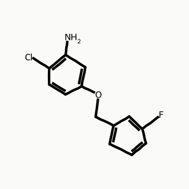 Nc1cc(OCc2cccc(F)c2)ccc1Cl